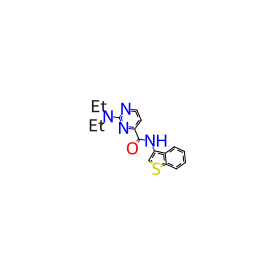 CCN(CC)c1nccc(C(=O)Nc2csc3ccccc23)n1